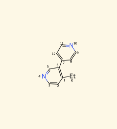 [CH2]Cc1ccncc1-c1ccncc1